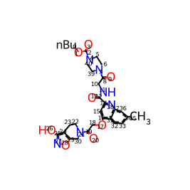 CCCCOC(=O)N1CCN(C(=O)CNC(=O)c2cc(OCC(=O)N3CCc4c(O)noc4C3)c3ccc(C)cc3n2)CC1